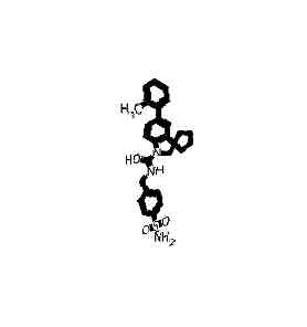 Cc1ccccc1-c1ccc2c(c1)C1(CCCC1)CN2C(O)NCc1ccc(S(N)(=O)=O)cc1